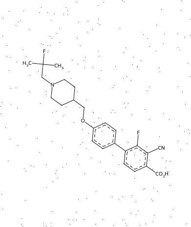 CC(C)(F)CN1CCC(COc2ccc(-c3ccc(C(=O)O)c(C#N)c3F)cc2)CC1